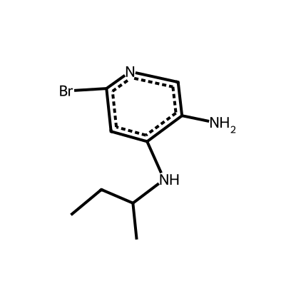 CCC(C)Nc1cc(Br)ncc1N